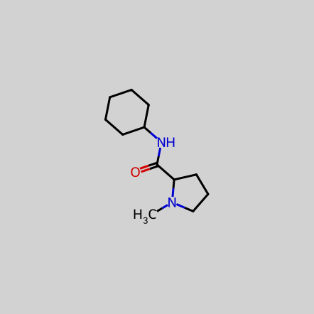 CN1CCCC1C(=O)NC1CCCCC1